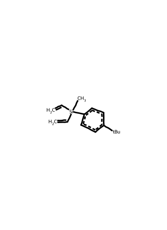 C=C[Si](C)(C=C)c1ccc(C(C)(C)C)cc1